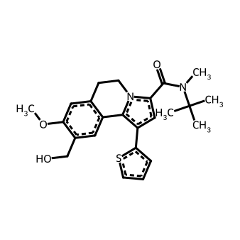 COc1cc2c(cc1CO)-c1c(-c3cccs3)cc(C(=O)N(C)C(C)(C)C)n1CC2